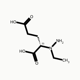 CCN(N)[C@@H](CCC(=O)O)C(=O)O